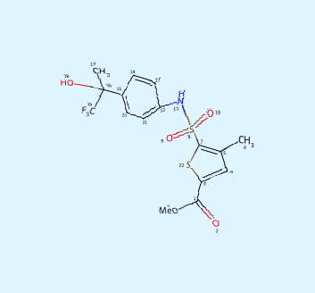 COC(=O)c1cc(C)c(S(=O)(=O)Nc2ccc(C(C)(O)C(F)(F)F)cc2)s1